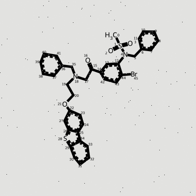 CS(=O)(=O)N(Cc1ccccc1)c1cc(C(=O)CN(CCOc2ccc3c(c2)sc2ccccc23)Cc2ccccc2)ccc1Br